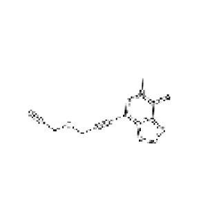 C#CCOCC#Cc1cn(C)c(=S)c2sccc12